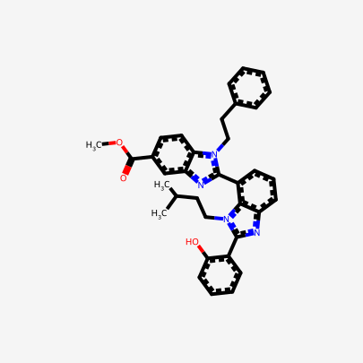 COC(=O)c1ccc2c(c1)nc(-c1cccc3nc(-c4ccccc4O)n(CCC(C)C)c13)n2CCc1ccccc1